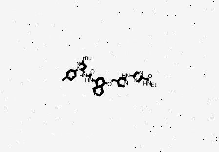 CCNC(=O)c1cnc(Nc2cc(COc3ccc(NC(=O)Nc4cc(C(C)(C)C)nn4-c4ccc(C)cc4)c4ccccc34)ccn2)cn1